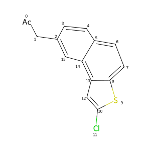 CC(=O)Cc1ccc2ccc3sc(Cl)cc3c2c1